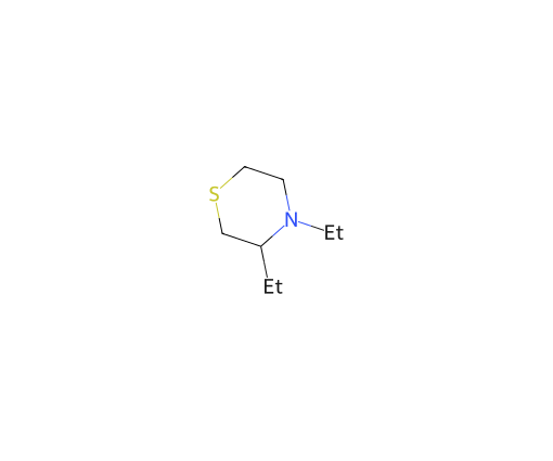 CCC1CSCCN1CC